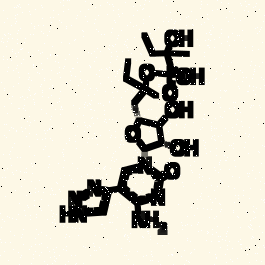 CCC(C)(C[C@H]1O[C@@H](n2cc(-c3c[nH]nn3)c(N)nc2=O)[C@@H](O)C1O)OP(=O)(O)C(C)(O)CC